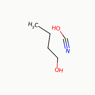 CCCCO.N#CO